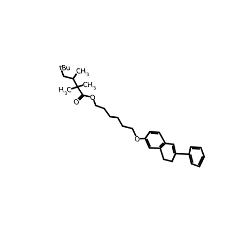 CC(CC(C)(C)C)C(C)(C)C(=O)OCCCCCCOc1ccc2c(c1)CCC(c1ccccc1)=C2